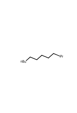 CCCCCCC[CH]CC(C)C